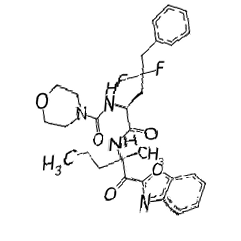 CCC[C@](C)(NC(=O)[C@H](CC(F)(F)Cc1ccccc1)NC(=O)N1CCOCC1)C(=O)c1nc2ccccc2o1